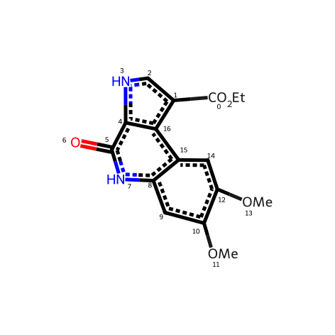 CCOC(=O)c1c[nH]c2c(=O)[nH]c3cc(OC)c(OC)cc3c12